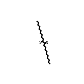 CCCCCCCCCCC(=S)C(=S)CCCCCCCCCC